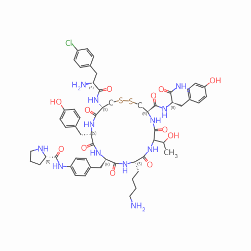 CC(O)C1NC(=O)[C@H](CCCCN)NC(=O)[C@@H](Cc2ccc(NC(=O)[C@@H]3CCCN3)cc2)NC(=O)[C@H](Cc2ccc(O)cc2)NC(=O)[C@H](NC(=O)[C@@H](N)Cc2ccc(Cl)cc2)CSSC[C@@H](C(=O)N[C@H](Cc2ccc(O)cc2)C(N)=O)NC1=O